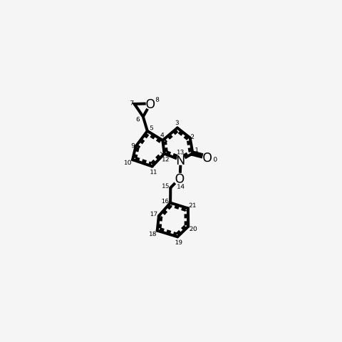 O=c1ccc2c(C3CO3)cccc2n1OCc1ccccc1